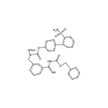 CCCCCN(Cc1cccc(C(=N)NC(=O)OCc2ccccc2)c1)C(=O)Oc1ccc(-c2ccccc2S(N)(=O)=O)cc1